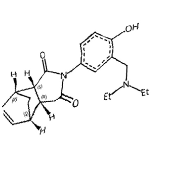 CCN(CC)Cc1cc(N2C(=O)[C@@H]3[C@H](C2=O)[C@@H]2C=C[C@H]3C2)ccc1O